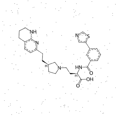 O=C(N[C@H](CCN1CC[C@@H](CCc2ccc3c(n2)NCCC3)C1)C(=O)O)c1cccc(-c2cncs2)c1